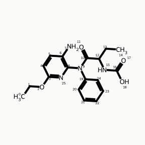 CCOc1ccc(N)c(N(C(=O)C(CC)NC(=O)O)c2ccccc2)n1